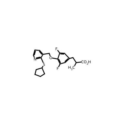 CC(Cc1cc(F)c(OCc2cccnc2SC2CCCC2)c(F)c1)C(=O)O